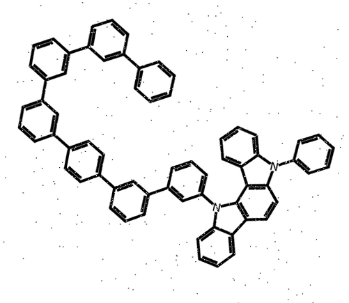 c1ccc(-c2cccc(-c3cccc(-c4cccc(-c5ccc(-c6cccc(-c7cccc(-n8c9ccccc9c9ccc%10c(c%11ccccc%11n%10-c%10ccccc%10)c98)c7)c6)cc5)c4)c3)c2)cc1